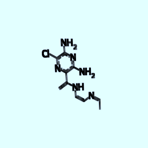 C=C(N/C=C\N=C/C)c1nc(Cl)c(N)nc1N